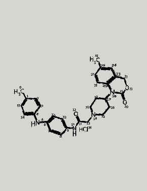 Cc1ccc(Nc2ccc(NC(=O)CN3CCC(N4C(=O)OCc5cc(C)ccc54)CC3)cc2)cc1.Cl